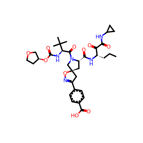 CCC[C@H](NC(=O)[C@@H]1C[C@]2(CC(c3ccc(C(=O)O)cc3)=NO2)CN1C(=O)[C@@H](NC(=O)O[C@H]1CCOC1)C(C)(C)C)C(=O)C(=O)NC1CC1